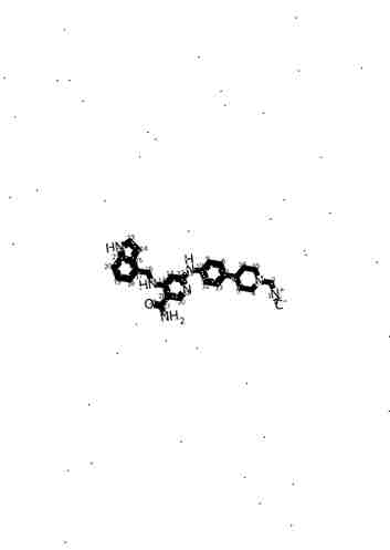 [C-]#[N+]CN1CCC(c2ccc(Nc3cc(NCc4cccc5[nH]ccc45)c(C(N)=O)cn3)cc2)CC1